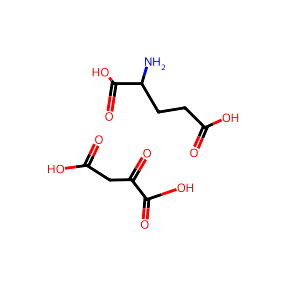 NC(CCC(=O)O)C(=O)O.O=C(O)CC(=O)C(=O)O